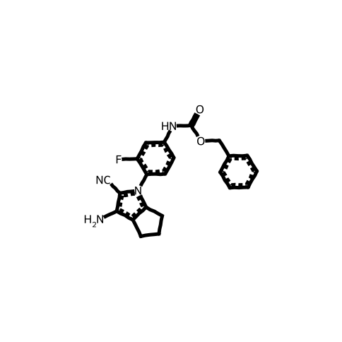 N#Cc1c(N)c2c(n1-c1ccc(NC(=O)OCc3ccccc3)cc1F)CCC2